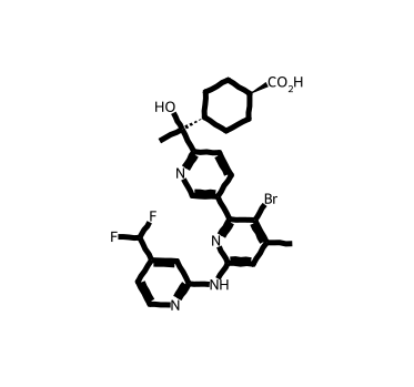 Cc1cc(Nc2cc(C(F)F)ccn2)nc(-c2ccc(C(C)(O)[C@H]3CC[C@H](C(=O)O)CC3)nc2)c1Br